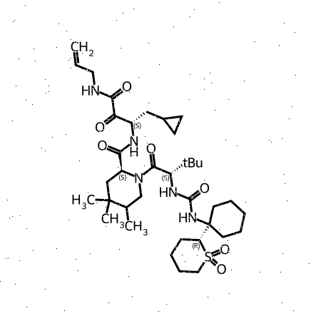 C=CCNC(=O)C(=O)[C@H](CC1CC1)NC(=O)[C@@H]1CC(C)(C)C(C)CN1C(=O)[C@@H](NC(=O)NC1([C@H]2CCCCS2(=O)=O)CCCCC1)C(C)(C)C